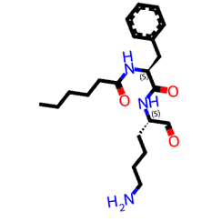 CCCCCC(=O)N[C@@H](Cc1ccccc1)C(=O)N[C@H](C=O)CCCCN